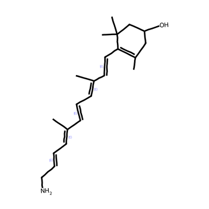 CC1=C(/C=C/C(C)=C/C=C/C(C)=C/C=C/CN)C(C)(C)CC(O)C1